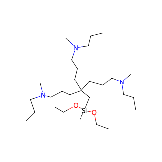 CCCN(C)CCCC(CCCN(C)CCC)(CCCN(C)CCC)C[Si](C)(OCC)OCC